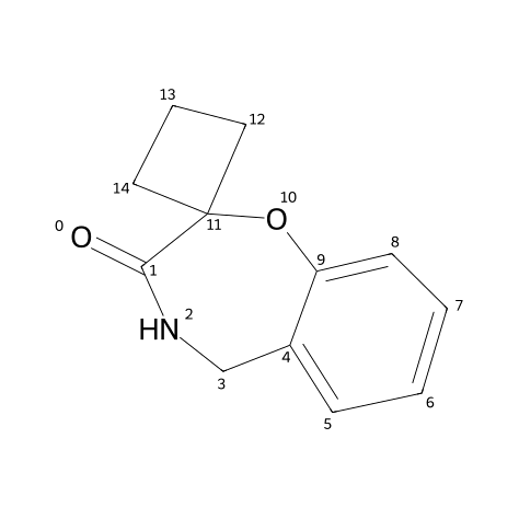 O=C1NCc2ccccc2OC12CCC2